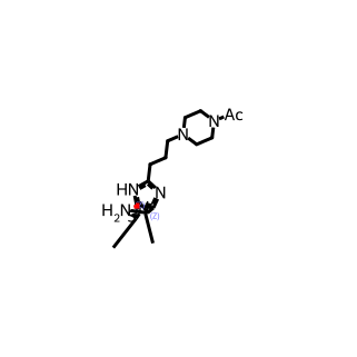 CC(=O)N1CCN(CCCc2nc3/c([nH]2)=C/SCC(C)N(C)/C=3N)CC1